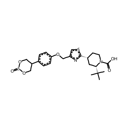 CC(C)(C)[C@@H]1C[C@H](c2nc(COc3ccc(C4COS(=O)OC4)cc3)cs2)CCN1C(=O)O